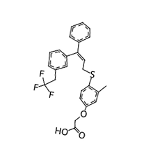 Cc1cc(OCC(=O)O)ccc1SCC=C(c1ccccc1)c1cccc(CC(F)(F)F)c1